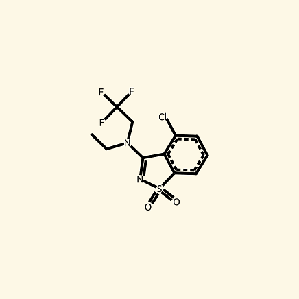 CCN(CC(F)(F)F)C1=NS(=O)(=O)c2cccc(Cl)c21